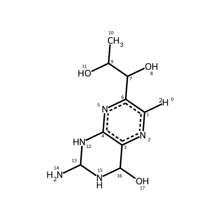 [2H]c1nc2c(nc1C(O)C(C)O)NC(N)NC2O